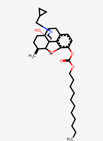 C=C1CC[C@@]2(O)C3Cc4ccc(OC(=O)OCCCCCCCCCCC)c5c4[C@@]2(CCN3CC2CC2)[C@H]1O5